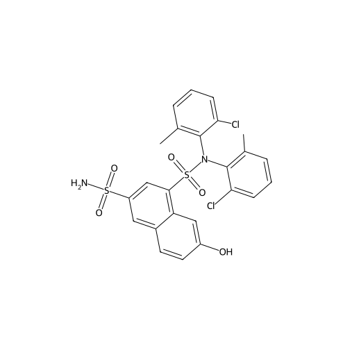 Cc1cccc(Cl)c1N(c1c(C)cccc1Cl)S(=O)(=O)c1cc(S(N)(=O)=O)cc2ccc(O)cc12